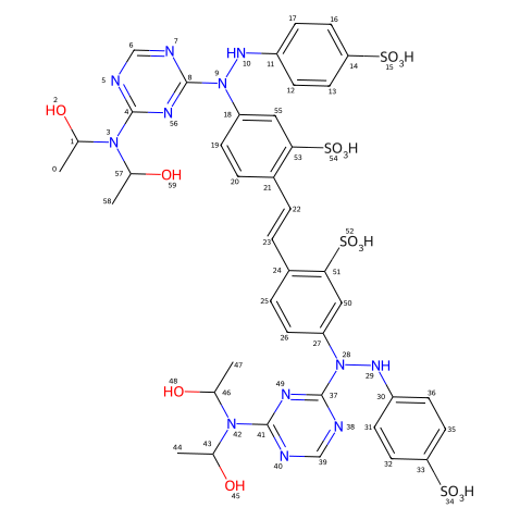 CC(O)N(c1ncnc(N(Nc2ccc(S(=O)(=O)O)cc2)c2ccc(C=Cc3ccc(N(Nc4ccc(S(=O)(=O)O)cc4)c4ncnc(N(C(C)O)C(C)O)n4)cc3S(=O)(=O)O)c(S(=O)(=O)O)c2)n1)C(C)O